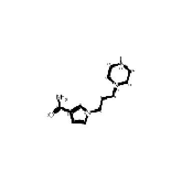 NC(=O)c1ccn(CCCN2CCNCC2)c1